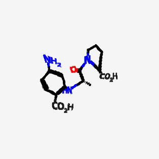 C[C@H](Nc1cc(N)ccc1C(=O)O)C(=O)N1CCC[C@H]1C(=O)O